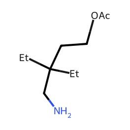 CCC(CC)(CN)CCOC(C)=O